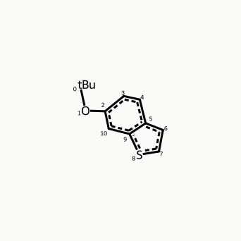 CC(C)(C)Oc1ccc2ccsc2c1